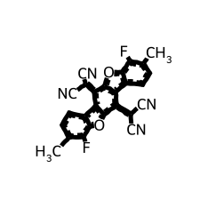 Cc1ccc2c(oc3c(=C(C#N)C#N)c4c(oc5c(F)c(C)ccc54)c(=C(C#N)C#N)c32)c1F